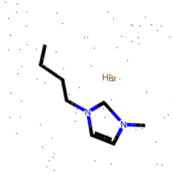 Br.CCCCN1C=CN(C)C1